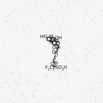 C[C@H](CCC(=O)OCCCC(=O)OC(C(F)(F)F)C(F)(F)S(=O)(=O)O)[C@H]1CC[C@H]2[C@@H]3C(O)C[C@@H]4CC(O)CC[C@]4(C)[C@H]3CC(O)[C@]12C